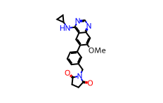 COc1cc2ncnc(NC3CC3)c2cc1-c1cccc(CN2C(=O)CCC2=O)c1